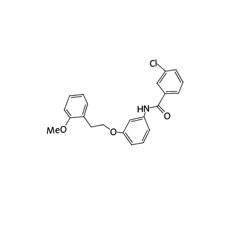 COc1ccccc1CCOc1cccc(NC(=O)c2cccc(Cl)c2)c1